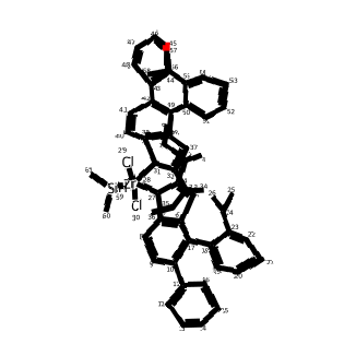 CCC(C)C1=Cc2c(ccc(-c3ccccc3)c2-c2ccccc2C(C)C)[CH]1[Zr]([Cl])([Cl])([CH]1C(C(C)CC)=Cc2c1ccc(-c1ccccc1)c2-c1ccccc1C(C)C)[SiH](C)C